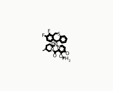 C[C@H]1CC[C@@H]2N(C1)C(=O)c1c(OP)c(=O)ccn1N2[C@@H]1c2ccccc2SCc2c1ccc(F)c2F